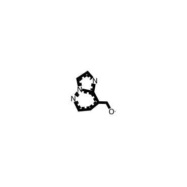 [O]Cc1ccnn2ccnc12